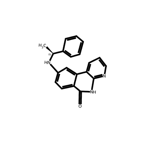 C[C@H](Nc1ccc2c(=O)[nH]c3ncccc3c2c1)c1ccccc1